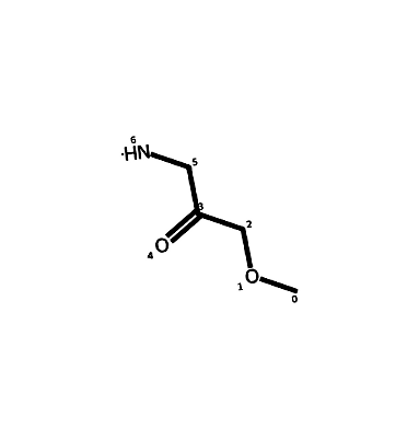 COCC(=O)C[NH]